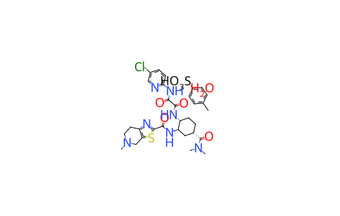 CN1CCc2nc(C(=O)N[C@@H]3C[C@@H](C(=O)N(C)C)CC[C@H]3NC(=O)C(=O)Nc3ccc(Cl)cn3)sc2C1.Cc1ccc(S(=O)(=O)O)cc1.O